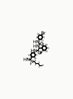 CCCCCN(C)C(=N)c1ccc(NC(=O)C(NC(=O)Nc2ccc(Br)cc2)c2ccccc2F)cc1